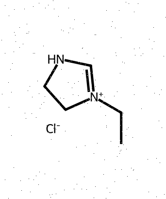 CC[N+]1=CNCC1.[Cl-]